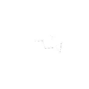 O=C(O)CCC1=CC1.[NaH]